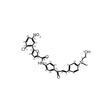 CN(CCO)c1ccc(/C=C/C(=O)c2ccc(NC(=O)c3ccc(-c4cc([N+](=O)[O-])ccc4Cl)o3)cc2)cc1